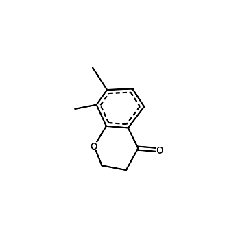 Cc1ccc2c(c1C)OCCC2=O